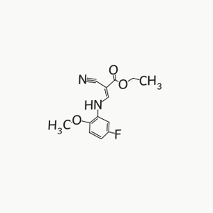 CCOC(=O)/C(C#N)=C/Nc1cc(F)ccc1OC